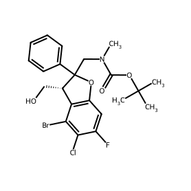 CN(CC1(c2ccccc2)Oc2cc(F)c(Cl)c(Br)c2[C@@H]1CO)C(=O)OC(C)(C)C